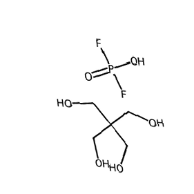 O=P(O)(F)F.OCC(CO)(CO)CO